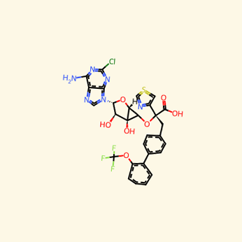 Nc1nc(Cl)nc2c1ncn2[C@@H]1O[C@@H]2C(O[C@@](Cc3ccc(-c4ccccc4OC(F)(F)F)cc3)(C(=O)O)c3cscn3)[C@]2(O)[C@H]1O